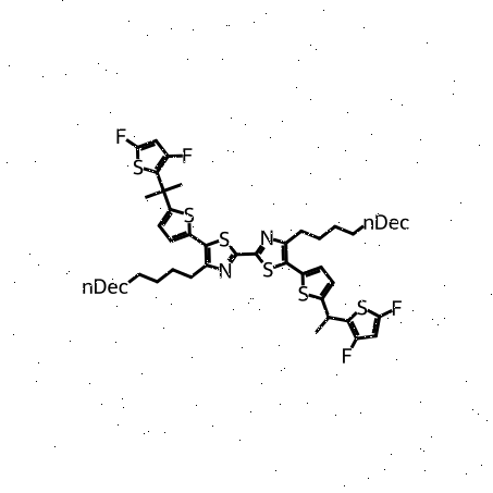 CCCCCCCCCCCCCCc1nc(-c2nc(CCCCCCCCCCCCCC)c(-c3ccc(C(C)(C)c4sc(F)cc4F)s3)s2)sc1-c1ccc(C(C)c2sc(F)cc2F)s1